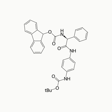 CC(C)(C)OC(=O)Nc1ccc(NC(=O)[C@@H](NC(=O)OC2c3ccccc3-c3ccccc32)c2ccccc2)cc1